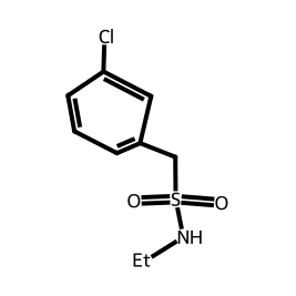 CCNS(=O)(=O)Cc1cccc(Cl)c1